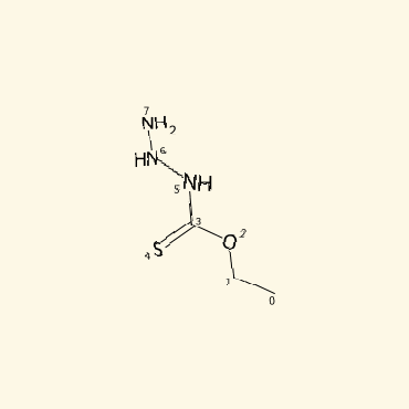 CCOC(=S)NNN